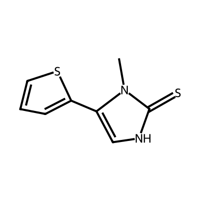 Cn1c(-c2cccs2)c[nH]c1=S